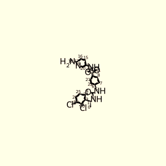 C[C@H](NC(=O)Nc1ccc(S(=O)(=O)Nc2ccc(N)nc2)cc1)c1cccc(Cl)c1Cl